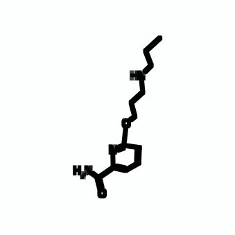 CCCNCCCOc1cccc(C(N)=O)n1